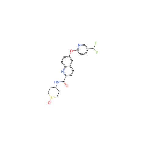 O=C(NC1CC[S+]([O-])CC1)c1ccc2cc(Oc3ccc(C(F)F)cn3)ccc2n1